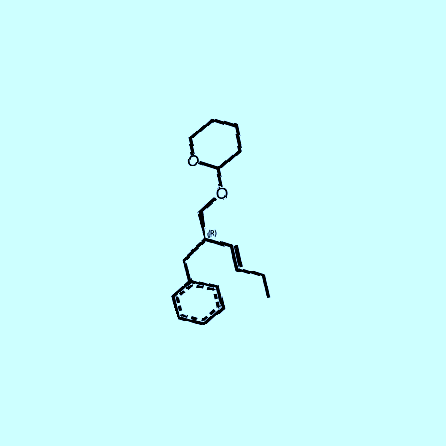 CCC=C[C@H](COC1CCCCO1)Cc1ccccc1